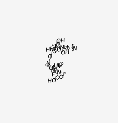 C#Cc1c(F)ccc2cc(O)cc(-c3ncc4c(N5CC6CCC(C5)N6)nc(OC[C@@H]5CCCN5CCCOCCC(=O)N[C@H](C(=O)N5C[C@H](O)C[C@H]5C(=O)NC(CO)c5ccc(-c6scnc6C)cc5)C(C)(C)C)nc4c3F)c12